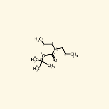 CCCN(CCC)C(=O)OC(C)(C)C